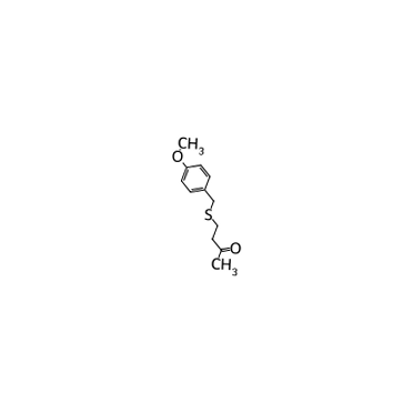 COc1ccc(CSCCC(C)=O)cc1